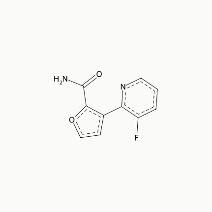 NC(=O)c1occc1-c1ncccc1F